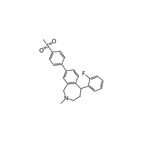 CN1CCC(c2ccccc2F)c2ccc(-c3ccc(S(C)(=O)=O)cc3)cc2C1